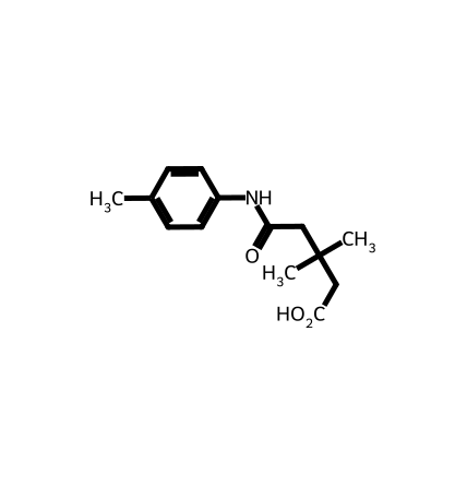 Cc1ccc(NC(=O)CC(C)(C)CC(=O)O)cc1